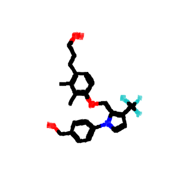 Cc1c(CCCO)ccc(OCc2c(C(F)(F)F)ccn2-c2ccc(CO)cc2)c1C